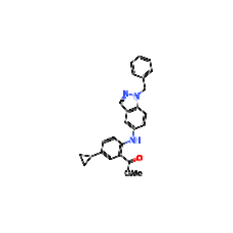 COC(=O)c1cc(C2CC2)ccc1Nc1ccc2c(cnn2Cc2ccccc2)c1